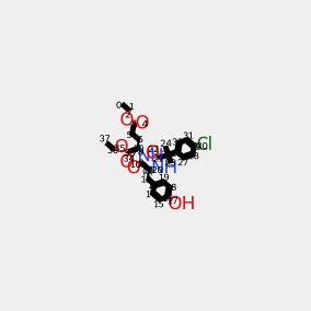 CCOC(=O)CC[C@@H](NC(=O)[C@H](Cc1ccc(O)cc1)NC(=O)C(C)(C)c1ccc(Cl)cc1)C(=O)OCC